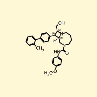 COc1ccc(NC(=O)N2CCCCN3[C@H](CO)[C@H](c4ccc(-c5ccccc5C)cc4)[C@@H]3C2)cc1